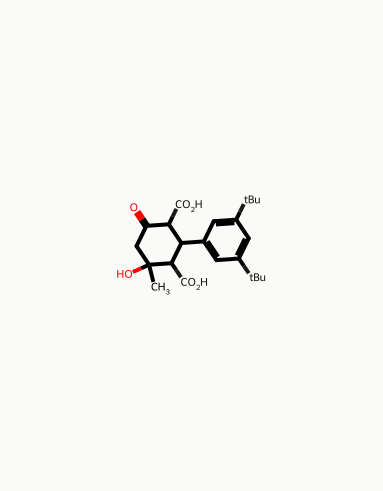 CC(C)(C)c1cc(C2C(C(=O)O)C(=O)CC(C)(O)C2C(=O)O)cc(C(C)(C)C)c1